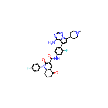 CN1CCC(c2cc(-c3ccc(NC(=O)c4cc5c(n(-c6ccc(F)cc6)c4=O)CCCC5=O)cc3F)c3c(N)ncnn23)CC1